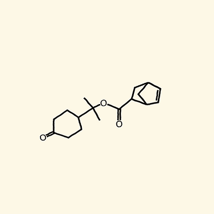 CC(C)(OC(=O)C1CC2C=CC1C2)C1CCC(=O)CC1